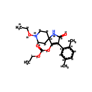 CCOC(=O)OC1=C(c2cc(C)ccc2C)C(=O)NC12CCN(OCC)CC2